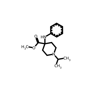 COC(=O)C1(Nc2ccccc2)CCN(C(C)C)CC1